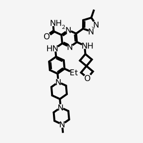 CCc1cc(Nc2nc(NC3CC4(COC4)C3)c(C3=CC(C)N=N3)nc2C(N)=O)ccc1N1CCC(N2CCN(C)CC2)CC1